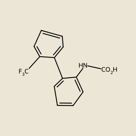 O=C(O)Nc1ccccc1-c1ccccc1C(F)(F)F